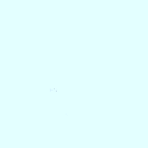 CC(c1ccc2c(c1)Nc1ccccc1S2)c1c2ccccc2cc2ccccc12